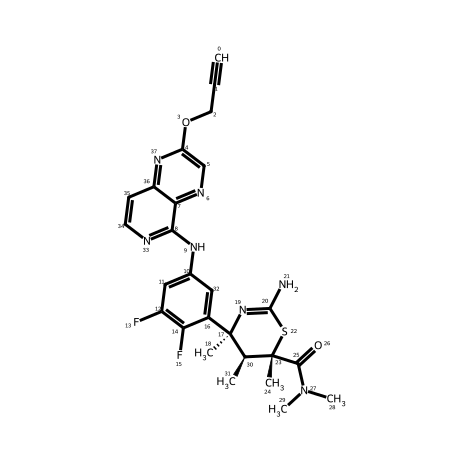 C#CCOc1cnc2c(Nc3cc(F)c(F)c([C@@]4(C)N=C(N)S[C@](C)(C(=O)N(C)C)[C@H]4C)c3)nccc2n1